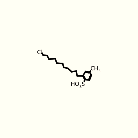 Cc1ccc(S(=O)(=O)O)c(CCCCCCCCCCCCl)c1